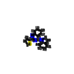 c1csc(-c2nc(-n3ccc4ccccc43)c3ccccc3n2)c1